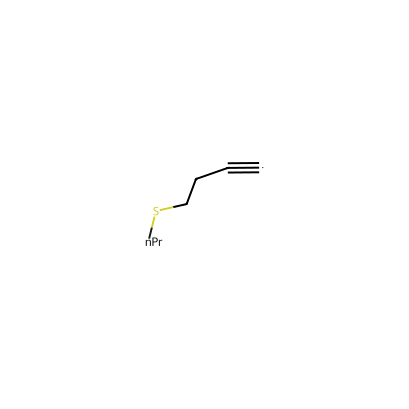 [C]#CCCSCCC